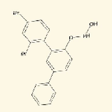 CC(C)c1ccc(-c2cc(-c3ccccc3)ccc2OPO)c(C(C)C)c1